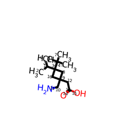 CC(C)C1(C(C)(C)C)CC(CN)(CC(=O)O)C1